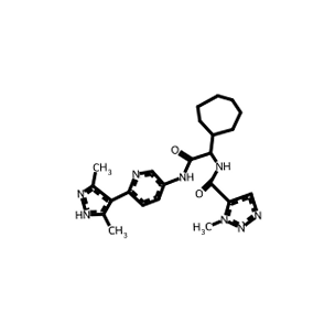 Cc1n[nH]c(C)c1-c1ccc(NC(=O)C(NC(=O)c2cnnn2C)C2CCCCCC2)cn1